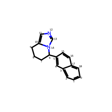 c1ccc2cc(C3CCCc4cncn43)ccc2c1